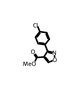 COC(=O)c1conc1-c1ccc(Cl)cc1